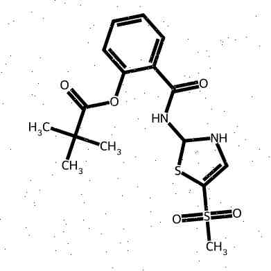 CC(C)(C)C(=O)Oc1ccccc1C(=O)NC1NC=C(S(C)(=O)=O)S1